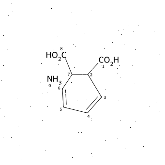 N.O=C(O)C1C=CC=CC1C(=O)O